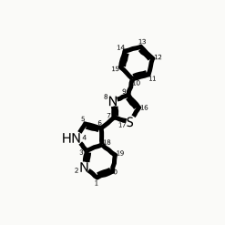 C1=CN=C2NC=C(c3nc(-c4ccccc4)cs3)C2C1